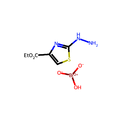 CCOC(=O)c1csc(NN)n1.[O-][Br+2]([O-])O